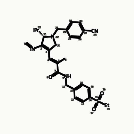 C=NC1=C(/C=C(\C)C(=O)NCc2ccc(S(=O)(=O)CC)cc2)CN(Cc2ccc(C#N)cc2)[C@H]1C(C)C